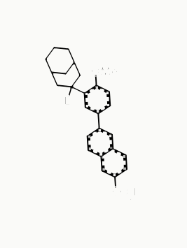 CCC1(c2cc(-c3ccc4cc(C(=O)O)ccc4c3)ccc2OC)CC2CCCC(C2)C1